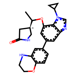 CC(Oc1cc(-c2ccc3c(c2)NCCO3)cc2ncn(C3CC3)c12)[C@H]1CNC(=O)C1